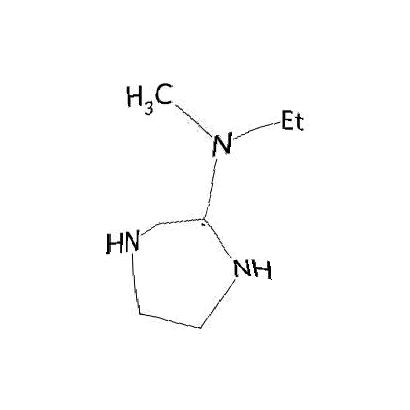 CCN(C)[C]1NCCN1